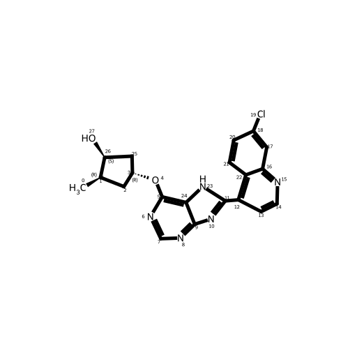 C[C@@H]1C[C@@H](Oc2ncnc3nc(-c4ccnc5cc(Cl)ccc45)[nH]c23)C[C@@H]1O